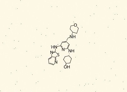 O[C@H]1CC[C@H](Nc2cc(CNC3CCOCC3)cc(Nc3nc4cccnc4s3)n2)CC1